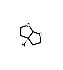 [C]1COC2OCC[C@H]12